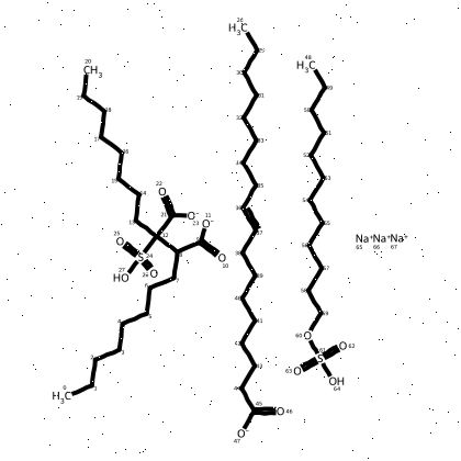 CCCCCCCCC(C(=O)[O-])C(CCCCCCCC)(C(=O)[O-])S(=O)(=O)O.CCCCCCCCC=CCCCCCCCC(=O)[O-].CCCCCCCCCCCCOS(=O)(=O)O.[Na+].[Na+].[Na+]